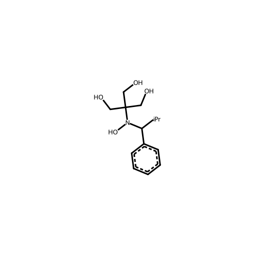 CC(C)C(c1ccccc1)N(O)C(CO)(CO)CO